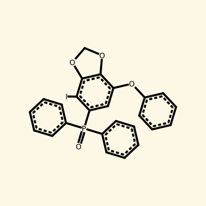 O=P(c1ccccc1)(c1ccccc1)c1cc(Oc2ccccc2)c2c(c1I)OCO2